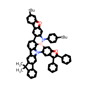 CC(C)(C)c1ccc(N2B3c4cc5oc(-c6ccccc6)c(-c6ccccc6)c5cc4-n4c5cc6c(cc5c5ccc(c3c54)-c3cc4c(cc32)oc2cc(C(C)(C)C)ccc24)C(C)(C)c2ccccc2-6)cc1